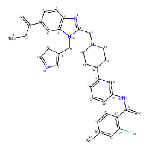 C=C(CC(C)(C)C)c1ccc2nc(CN3CCC(c4cccc(NC(=C)c5ccc(C#N)cc5F)n4)CC3)n(CC3=CN=CC3)c2c1